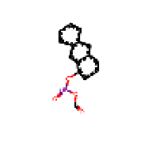 O=CO[PH](=O)Oc1cccc2cc3ccccc3cc12